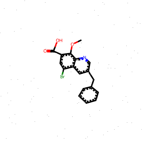 COc1c(C(=O)O)cc(Br)c2cc(Cc3ccccc3)cnc12